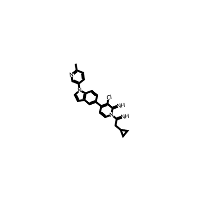 Cc1ccc(-n2ccc3cc(-c4ccn(C(=N)CC5CC5)c(=N)c4Cl)ccc32)cn1